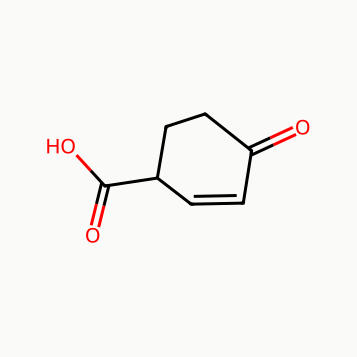 O=C1C=CC(C(=O)O)CC1